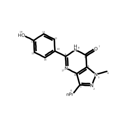 CCCc1nn(C)c2c(=O)[nH]c(-c3ccc(O)cc3)nc12